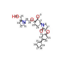 COc1cc(N2CC=C(Oc3ccc(-c4ccccc4)cc3)C2=O)ccc1OCCN1CCC[C@H]1CO